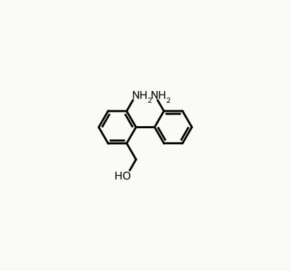 Nc1ccccc1-c1c(N)cccc1CO